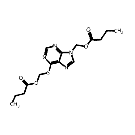 CCCC(=O)OCSc1ncnc2c1ncn2COC(=O)CCC